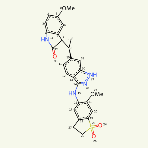 COc1ccc2c(c1)[C@]1(C[C@H]1c1ccc3c(Nc4cc5c(cc4OC)S(=O)(=O)CC5)n[nH]c3c1)C(=O)N2